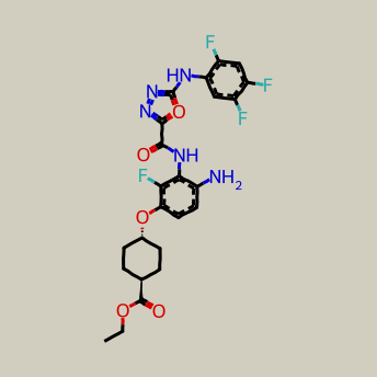 CCOC(=O)[C@H]1CC[C@H](Oc2ccc(N)c(NC(=O)c3nnc(Nc4cc(F)c(F)cc4F)o3)c2F)CC1